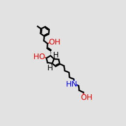 Cc1cccc(C[C@@H](O)/C=C/[C@@H]2[C@H]3CC(CCCCCNCCCO)=C[C@H]3C[C@H]2O)c1